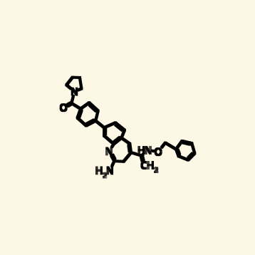 C=C(NOCc1ccccc1)C1=Cc2ccc(-c3ccc(C(=O)N4CCCC4)cc3)cc2N=C(N)C1